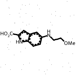 COCCNc1ccc2[nH]c(C(=O)O)cc2c1